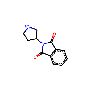 O=C1c2ccccc2C(=O)N1C1CCNC1